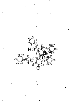 OC(Cc1ccccc1)[C@H]1O[C@@H](c2ccc(Cl)c(Cc3ccc(-c4ccccc4)s3)c2)[C@@](O)(Cc2ccccc2)[C@](O)(Cc2ccccc2)[C@@H]1F